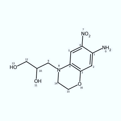 Nc1cc2c(cc1[N+](=O)[O-])N(CC(O)CO)CCO2